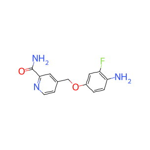 NC(=O)c1cc(COc2ccc(N)c(F)c2)ccn1